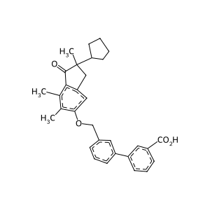 Cc1c(OCc2cccc(-c3cccc(C(=O)O)c3)c2)cc2c(c1C)C(=O)C(C)(C1CCCC1)C2